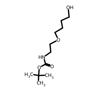 CC(C)(C)OC(=O)NCCOCCCCO